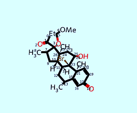 CCC(=O)[C@@]1(OCOC)C(C)C[C@H]2[C@@H]3CC(C)C4=CC(=O)C=C[C@]4(C)[C@@]3(Br)C(O)C[C@@]21C